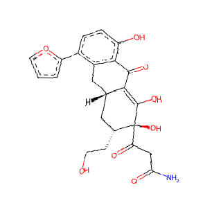 NC(=O)CC(=O)[C@@]1(O)C(O)=C2C(=O)c3c(O)ccc(-c4ccco4)c3C[C@H]2C[C@H]1CCO